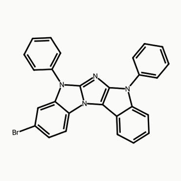 Brc1ccc2c(c1)n(-c1ccccc1)c1nc3c(c4ccccc4n3-c3ccccc3)n21